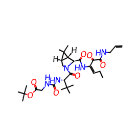 C=CCNC(=O)C(=O)/C(=C\CC)NC(=O)[C@@H]1[C@@H]2[C@H](CN1C(=O)[C@@H](NC(=O)NCC(=O)OC(C)(C)C)C(C)(C)C)C2(C)C